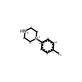 Ic1ccc(N2CCNCC2)cc1